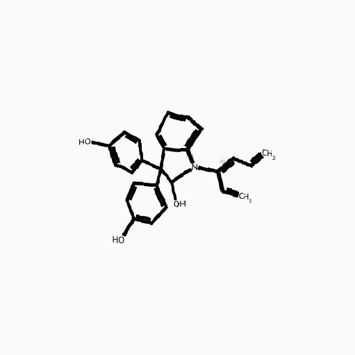 C=C/C=C(\C=C)N1c2ccccc2C(c2ccc(O)cc2)(c2ccc(O)cc2)C1O